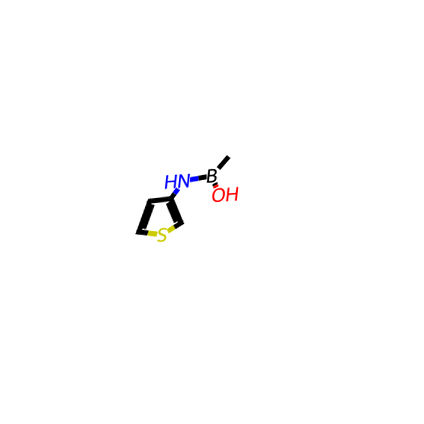 CB(O)Nc1ccsc1